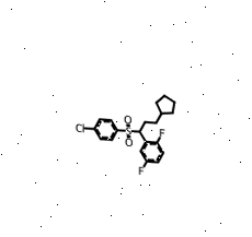 O=S(=O)(c1ccc(Cl)cc1)C(CCC1CCCC1)c1cc(F)ccc1F